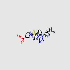 Cc1ccnc(Nc2cccc(-c3cnc(N4CCC[C@@H](C(=O)O)C4)s3)n2)c1